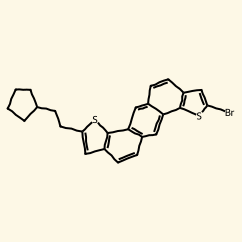 Brc1cc2ccc3cc4c(ccc5cc(CCC6CCCC6)sc54)cc3c2s1